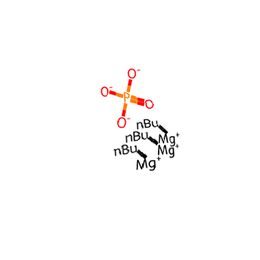 CCC[CH2][Mg+].CCC[CH2][Mg+].CCC[CH2][Mg+].O=P([O-])([O-])[O-]